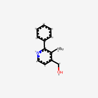 CCCCc1c(CO)ccnc1-c1ccccc1